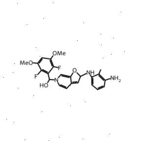 COc1cc(OC)c(F)c(C(O)N2C=CC3=CC(Nc4cccc(N)c4C)OC3=C2)c1F